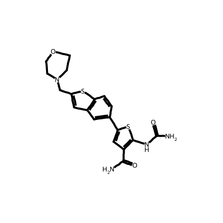 NC(=O)Nc1sc(-c2ccc3sc(CN4CCOCC4)cc3c2)cc1C(N)=O